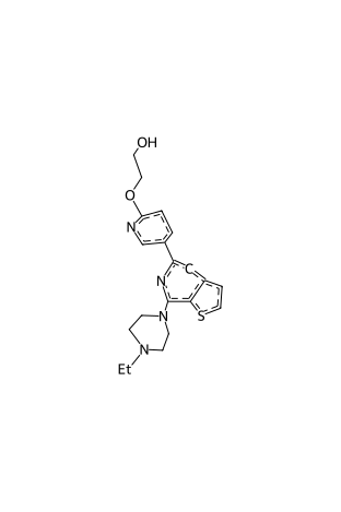 CCN1CCN(c2nc(-c3ccc(OCCO)nc3)cc3ccsc23)CC1